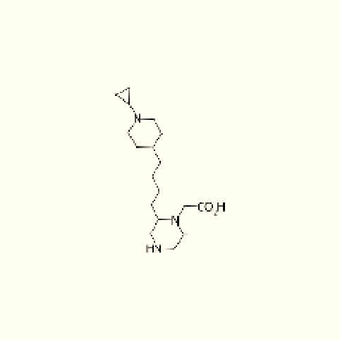 O=C(O)CN1[CH]CNCC1CCCCC1CCN(C2CC2)CC1